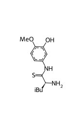 CCC(C)[C@H](N)C(=S)Nc1ccc(OC)c(O)c1